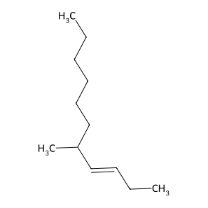 CCC=CC(C)CCCCCC